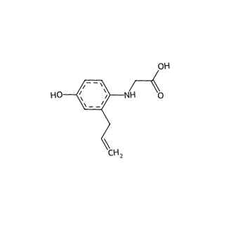 C=CCc1cc(O)ccc1NCC(=O)O